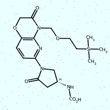 C[Si](C)(C)CCOCN1C(=O)COc2ccc(N3C[C@H](NC(=O)O)CC3=O)nc21